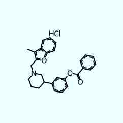 Cc1c(CN2CCCC(c3cccc(OC(=O)c4ccccc4)c3)C2)oc2ccccc12.Cl